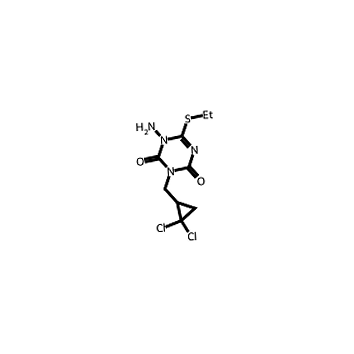 CCSc1nc(=O)n(CC2CC2(Cl)Cl)c(=O)n1N